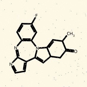 CC1C=C2C(C=C3C4=CC=NC4=Nc4ccc(F)cc4N32)CC1=O